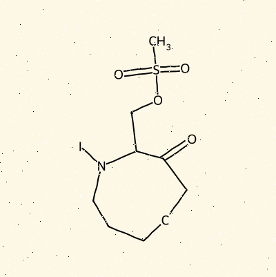 CS(=O)(=O)OCC1C(=O)CCCCCN1I